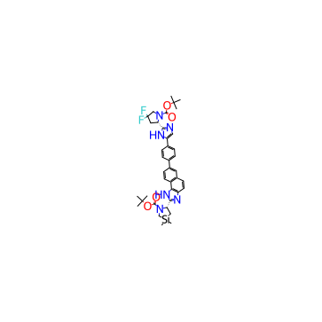 CC(C)(C)OC(=O)N1CC(F)(F)C[C@H]1c1ncc(-c2ccc(-c3ccc4c(ccc5nc([C@@H]6C[Si](C)(C)CN6C(=O)OC(C)(C)C)[nH]c54)c3)cc2)[nH]1